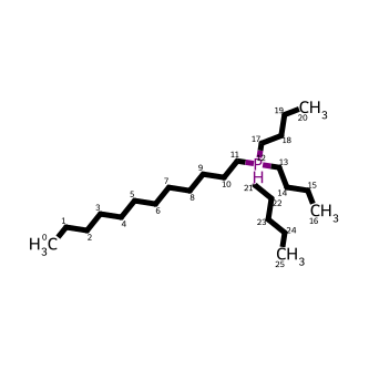 CCCCCCCCCCCC[PH](CCCC)(CCCC)CCCCC